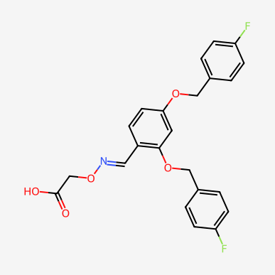 O=C(O)CON=Cc1ccc(OCc2ccc(F)cc2)cc1OCc1ccc(F)cc1